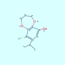 CC(C)c1cc(O)c2c(c1F)OCCCO2